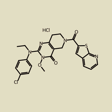 CCN(c1ccc(Cl)cc1)c1nc2c(c(=O)n1OC)CN(C(=O)c1cc3cccnc3s1)CC2.Cl